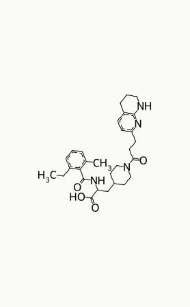 CCc1cccc(C)c1C(=O)NC(CC1CCN(C(=O)CCc2ccc3c(n2)NCCC3)CC1)C(=O)O